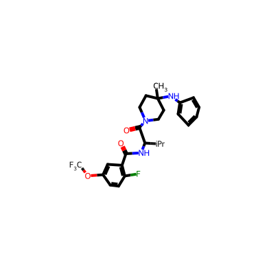 CC(C)C(NC(=O)c1cc(OC(F)(F)F)ccc1F)C(=O)N1CCC(C)(Nc2ccccc2)CC1